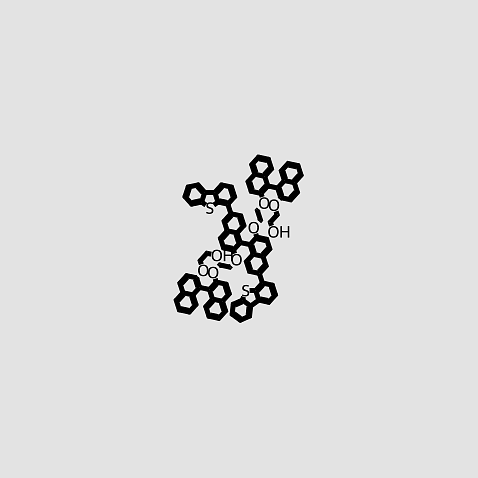 OCCOc1ccc2ccccc2c1-c1c(OCCOc2ccc3cc(-c4cccc5c4sc4ccccc45)ccc3c2-c2c(OCCOc3ccc4ccccc4c3-c3c(OCCO)ccc4ccccc34)ccc3cc(-c4cccc5c4sc4ccccc45)ccc23)ccc2ccccc12